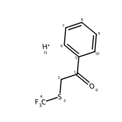 O=C(CSC(F)(F)F)c1ccccc1.[H+]